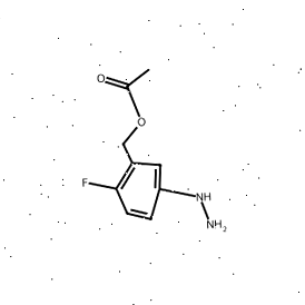 CC(=O)OCc1cc(NN)ccc1F